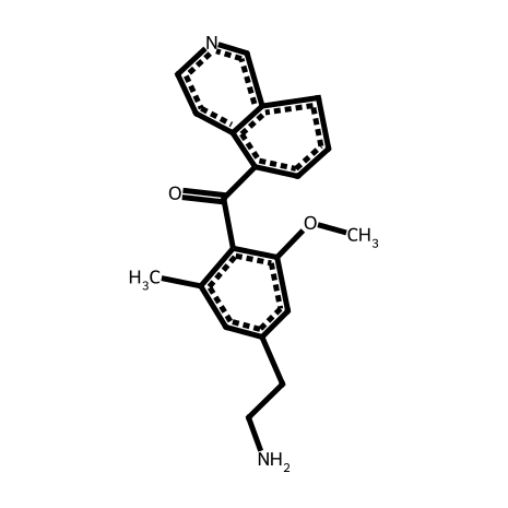 COc1cc(CCN)cc(C)c1C(=O)c1cccc2cnccc12